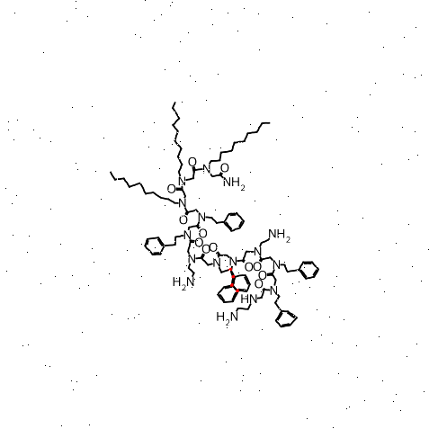 CCCCCCCCCCN(CC(N)=O)C(=O)CN(CCCCCCCCCC)C(=O)CN(CCCCCCCCCC)C(=O)CN(CCc1ccccc1)C(=O)CN(CCc1ccccc1)C(=O)CN(CCN)C(=O)CN(CCc1ccccc1)C(=O)CN(CCc1ccccc1)C(=O)CN(CCN)C(=O)CN(CCc1ccccc1)C(=O)CN(CCc1ccccc1)C(=O)CNCCN